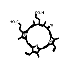 C=CC1=C(C)c2cc3[nH]c(cc(=N)c(C)c(CCC(=O)O)c(C)cc4[nH]c(cc1n2)c(C)c4CCC(=O)O)c(C)c3C=C